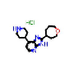 Cl.c1cc(C2CCNCC2)c2nc(C3CCCOCC3)[nH]c2n1